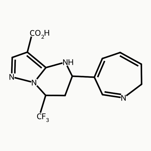 O=C(O)c1cnn2c1NC(C1=CC=CCN=C1)CC2C(F)(F)F